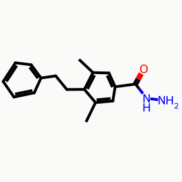 Cc1cc(C(=O)NN)cc(C)c1CCc1ccccc1